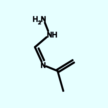 C=C(C)/N=C\NN